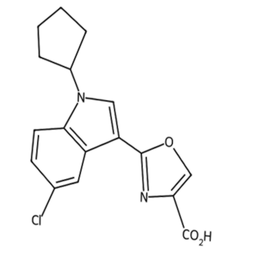 O=C(O)c1coc(-c2cn(C3CCCC3)c3ccc(Cl)cc23)n1